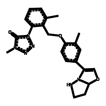 Cc1cc(C2=COC3CCNN23)ccc1OCc1c(C)cccc1-n1nnn(C)c1=O